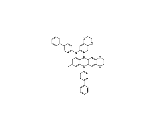 Cc1cc2c3c(c1)N(c1ccc(-c4ccccc4)cc1)c1cc4c(cc1B3c1cc3c(cc1N2c1ccc(-c2ccccc2)cc1)OCCO3)OCCO4